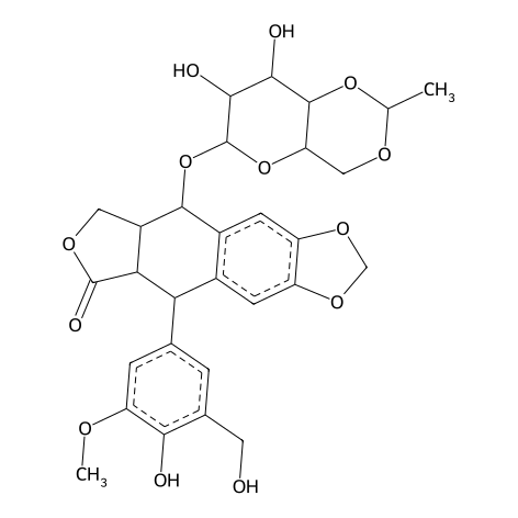 COc1cc(C2c3cc4c(cc3C(OC3OC5COC(C)OC5C(O)C3O)C3COC(=O)C23)OCO4)cc(CO)c1O